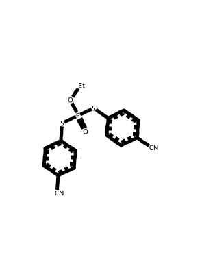 CCOP(=O)(Sc1ccc(C#N)cc1)Sc1ccc(C#N)cc1